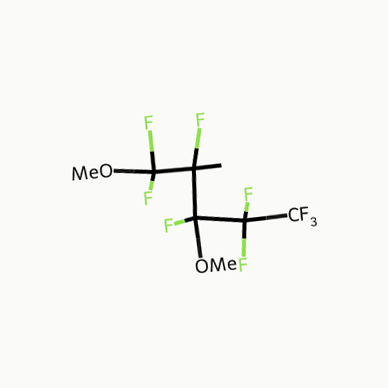 COC(F)(F)C(C)(F)C(F)(OC)C(F)(F)C(F)(F)F